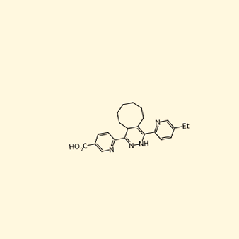 CCc1ccc(C2=C3CCCCCCC3C(c3ccc(C(=O)O)cn3)=NN2)nc1